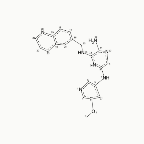 COc1cncc(Nc2cnc(N)c(NCc3ccc4ncccc4c3)n2)c1